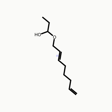 C=CCCC/C=C/COC(O)CC